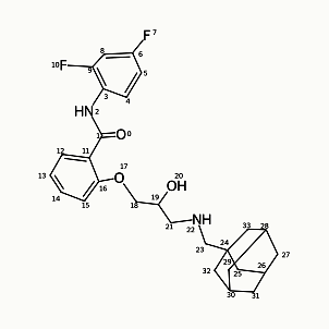 O=C(Nc1ccc(F)cc1F)c1ccccc1OCC(O)CNCC12CC3CC(CC(C3)C1)C2